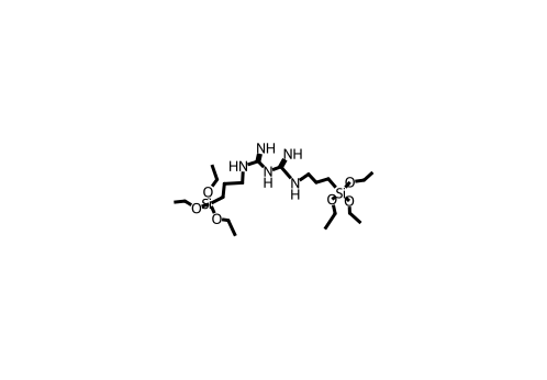 CCO[Si](CCCNC(=N)NC(=N)NCCC[Si](OCC)(OCC)OCC)(OCC)OCC